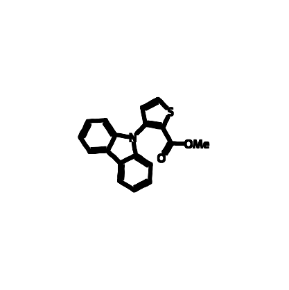 COC(=O)c1sccc1-n1c2ccccc2c2ccccc21